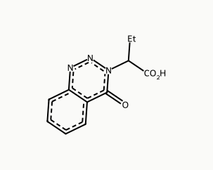 CCC(C(=O)O)n1nnc2ccccc2c1=O